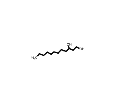 CCCCCCCCCC(O)CCO